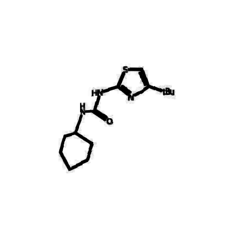 CC(C)(C)c1csc(NC(=O)NC2CCCCC2)n1